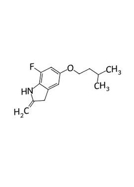 C=C1Cc2cc(OCCC(C)C)cc(F)c2N1